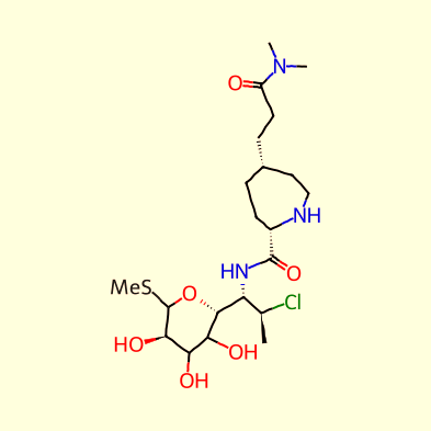 CSC1O[C@H]([C@H](NC(=O)[C@@H]2CC[C@H](CCC(=O)N(C)C)CCN2)[C@H](C)Cl)C(O)C(O)[C@H]1O